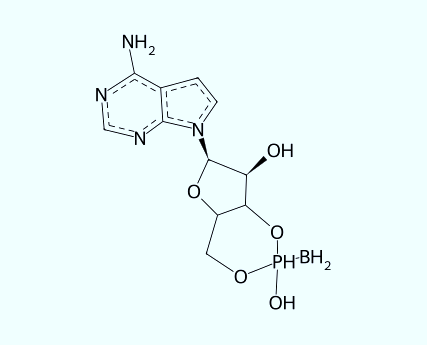 B[PH]1(O)OCC2O[C@@H](n3ccc4c(N)ncnc43)[C@@H](O)C2O1